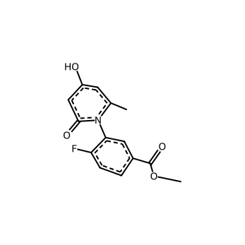 COC(=O)c1ccc(F)c(-n2c(C)cc(O)cc2=O)c1